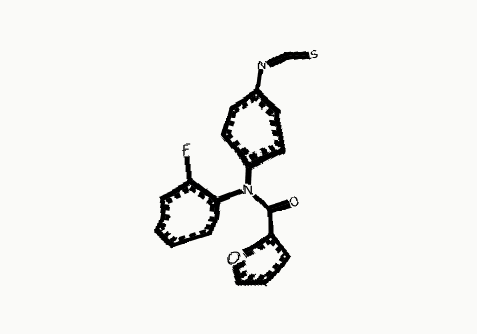 O=C(c1ccco1)N(c1ccc(N=C=S)cc1)c1ccccc1F